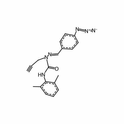 C#CCN(N=Cc1ccc(N=[N+]=[N-])cc1)C(=O)Nc1c(C)cccc1C